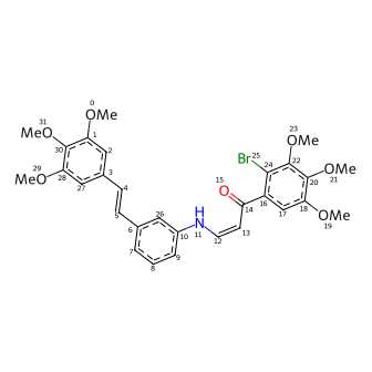 COc1cc(/C=C/c2cccc(N/C=C\C(=O)c3cc(OC)c(OC)c(OC)c3Br)c2)cc(OC)c1OC